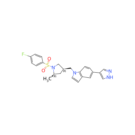 C[C@@H]1C[C@H](Cn2ccc3cc(-c4cn[nH]c4)ccc32)CN1S(=O)(=O)c1ccc(F)cc1